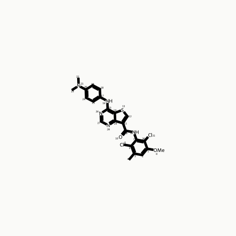 COc1cc(C)c(Cl)c(NC(=O)c2csc3c(Nc4ccc(N(C)C)cc4)ncnc23)c1Cl